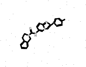 Cc1ccc(-c2cn3cc(NC(=O)N4CCc5ccccc5C4)ccc3n2)cc1